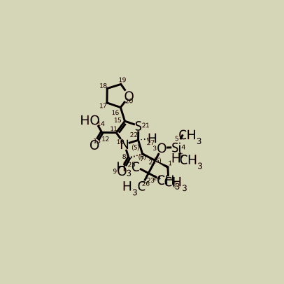 CC[C@](O[SiH](C)C)([C@@H]1C(=O)N2C(C(=O)O)=C(C3CCCO3)S[C@@H]12)C(C)(C)C